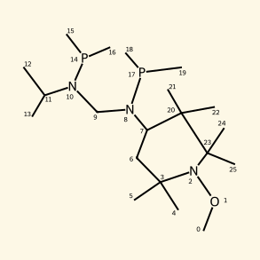 CON1C(C)(C)CC(N(CN(C(C)C)P(C)C)P(C)C)C(C)(C)C1(C)C